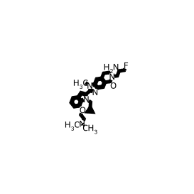 CN(C)CCOc1cccc2cc(-c3nc4cc5c(cc4n3C)CCN(C[C@H](N)CF)C5=O)n(CC3CC3)c12